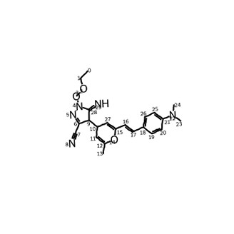 CCOON1N=C(C#N)C(C2C=C(C)OC(/C=C/c3ccc(N(C)C)cc3)=C2)C1=N